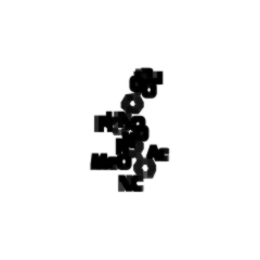 COc1nn(C(CC(C)C)C(=O)Nc2ccc(C(=O)OC(C)(C)C)cc2)c(=O)cc1-c1cc(C#N)ccc1C(C)=O